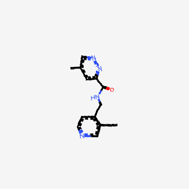 Cc1cnnc(C(=O)NCc2ccncc2C)c1